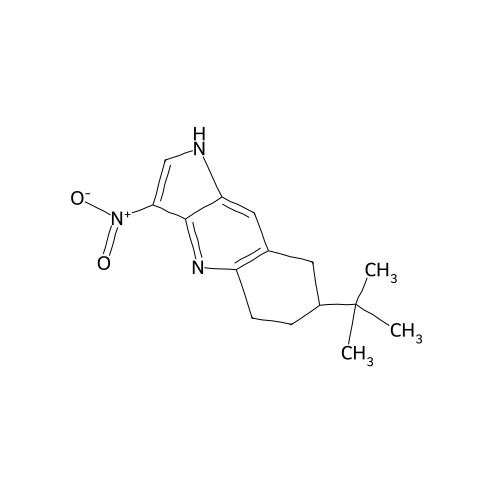 CC(C)(C)C1CCc2nc3c([N+](=O)[O-])c[nH]c3cc2C1